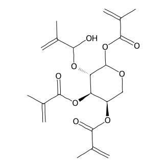 C=C(C)C(=O)OC1OC[C@@H](OC(=O)C(=C)C)[C@@H](OC(=O)C(=C)C)[C@@H]1OC(O)C(=C)C